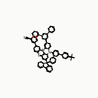 CC(C)(C)c1ccc(-c2ccc(N3c4ccc(-c5cc(-c6ccccc6)cc(-c6ccccc6)c5)cc4B4c5cc(-c6cccc(C#N)c6)ccc5Sc5cc(C6(c7ccccc7)c7ccccc7-c7ccccc76)cc3c54)cc2)cc1